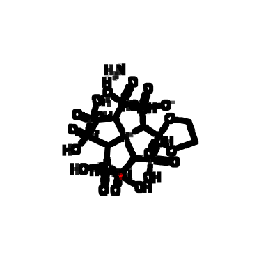 N.O=P([O-])(O)C([N+](C(P(=O)(O)O)P(=O)(O)O)(C(P(=O)(O)O)P(=O)(O)O)C(P(=O)(O)O)P(=O)(O)O)P1(=O)OCCO1